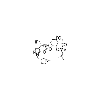 CO[C@@H]1[C@H](OC(=O)N[C@H](c2cnn(C[C@H]3CCN(C)C3)c2)C(C)C)CC[C@]2(CO2)[C@H]1[C@@]1(C)O[C@@H]1CC=C(C)C